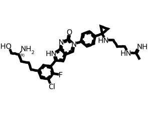 CC(=N)NCCCNC1(c2ccc(-n3cc4cc(-c5cc(CCC[C@@H](N)CO)cc(Cl)c5F)[nH]c4nc3=O)cc2)CC1